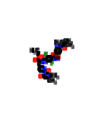 CCCOC(=O)[C@H](Cc1ccc(-n2c(=O)cc(C)n(C)c2=O)nc1)NC(=O)c1cc(F)c(NS(=O)(=O)c2ccc(NC(=O)C(C)(C)C)cc2)cc1F